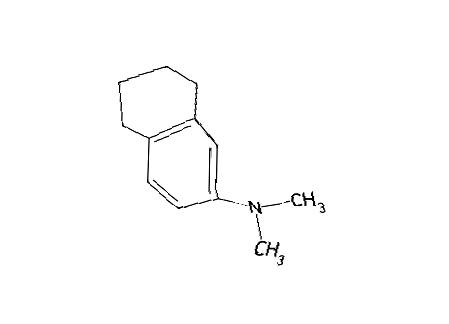 CN(C)c1ccc2c(c1)CCCC2